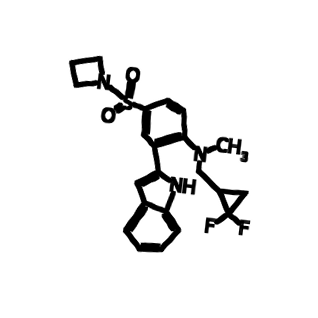 CN(CC1CC1(F)F)c1ccc(S(=O)(=O)N2CCC2)cc1-c1cc2ccccc2[nH]1